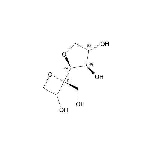 OC[C@]1([C@H]2OC[C@H](O)[C@H]2O)OCC1O